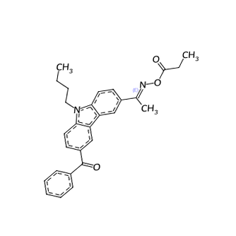 CCCCn1c2ccc(C(=O)c3ccccc3)cc2c2cc(/C(C)=N/OC(=O)CC)ccc21